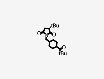 CC(C)(C)C(=O)C1CCC(CN2C(=O)C[C@@H](C(C)(C)C)C2=O)CC1